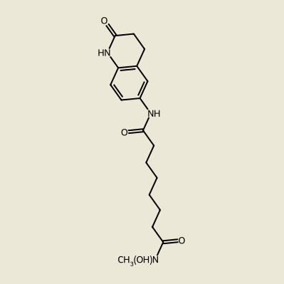 CN(O)C(=O)CCCCCCC(=O)Nc1ccc2c(c1)CCC(=O)N2